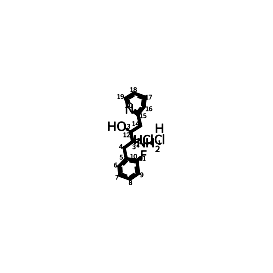 Cl.Cl.N[C@H](Cc1ccccc1F)[C@@H](O)Cc1ccccn1